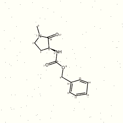 CN1CC[C@H](NC(=O)OCc2ccccc2)C1=O